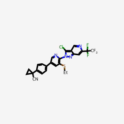 CCSc1cc(-c2ccc(C3(C#N)CC3)cc2)cnc1-n1nc2cc(C(F)(F)C(F)(F)F)ncc2c1Cl